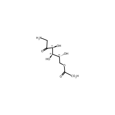 NCC(=O)[C@@H](O)[C@H](O)[C@H](O)COC(=O)C(=O)O